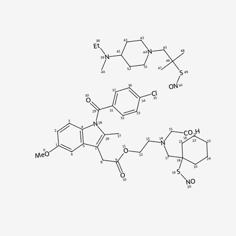 COc1ccc2c(c1)c(CC(=O)OCCN(CC(=O)O)CC1(SN=O)CCCCC1)c(C)n2C(=O)c1ccc(Cl)cc1.[CH2]CN(C)C1CCN(CC(C)(C)SN=O)CC1